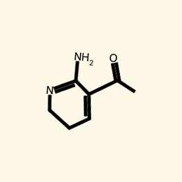 CC(=O)C1=CCCN=C1N